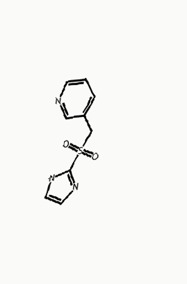 O=S(=O)(Cc1cccnc1)C1=NC=C[N]1